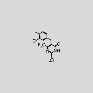 Cc1ccc(Cc2c(C(F)(F)F)nc(C3CC3)[nH]c2=O)cc1Cl